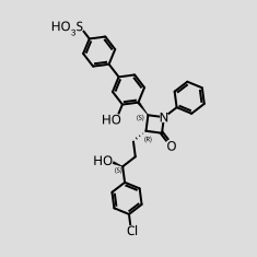 O=C1[C@H](CC[C@H](O)c2ccc(Cl)cc2)[C@@H](c2ccc(-c3ccc(S(=O)(=O)O)cc3)cc2O)N1c1ccccc1